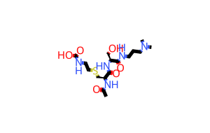 CC(=O)N[C@@H](CSCCNC(=O)O)C(=O)N[C@@H](CO)C(=O)NCCCN(C)C